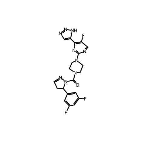 O=C(N1CCN(c2ncc(F)c(-c3cnn[nH]3)n2)CC1)N1N=CCC1c1cc(F)cc(F)c1